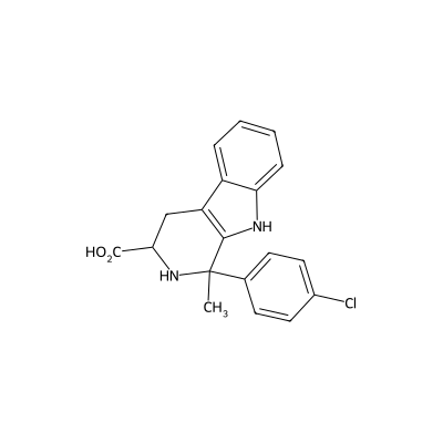 CC1(c2ccc(Cl)cc2)NC(C(=O)O)Cc2c1[nH]c1ccccc21